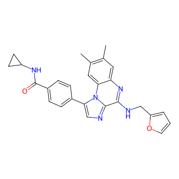 Cc1cc2nc(NCc3ccco3)c3ncc(-c4ccc(C(=O)NC5CC5)cc4)n3c2cc1C